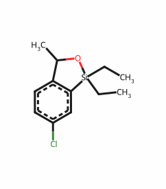 CC[Si]1(CC)OC(C)c2ccc(Cl)cc21